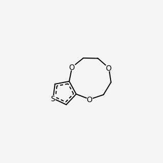 c1scc2c1OCCOCCO2